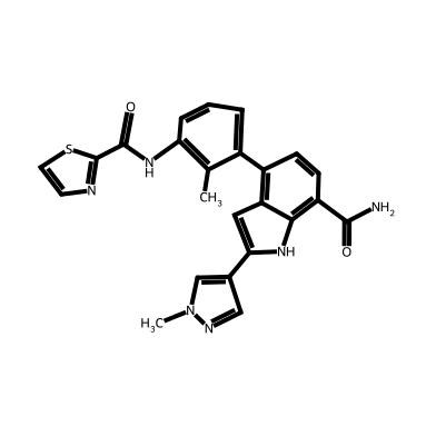 Cc1c(NC(=O)c2nccs2)cccc1-c1ccc(C(N)=O)c2[nH]c(-c3cnn(C)c3)cc12